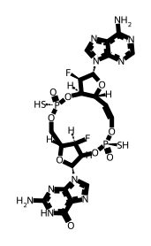 Nc1nc2c(ncn2[C@@H]2O[C@@H]3CO[P@](=O)(S)O[C@H]4[C@@H](F)[C@H](n5cnc6c(N)ncnc65)O[C@@H]4/C=C\O[P@@](=O)(S)O[C@@H]2[C@@H]3F)c(=O)[nH]1